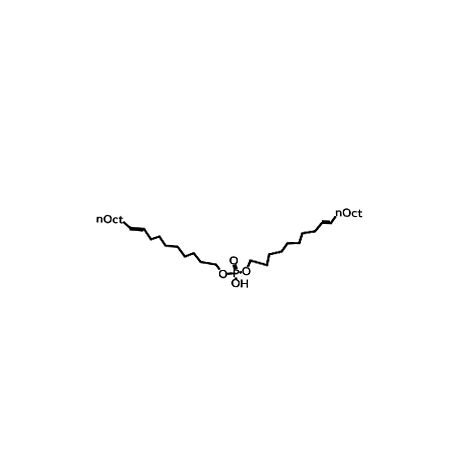 CCCCCCCC/C=C/CCCCCCCCOP(=O)(O)OCCCCCCCC/C=C/CCCCCCCC